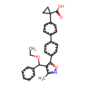 CCOC(c1ccccc1)c1c(C)noc1-c1ccc(-c2ccc(C3(C(=O)O)CC3)cc2)cc1